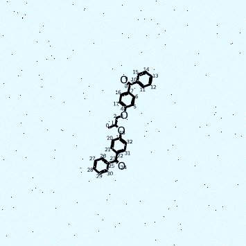 CC(COc1ccc(C(=O)c2ccccc2)cc1)Oc1ccc(C(=O)c2ccccc2)cc1